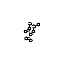 c1ccc(-c2cc(-c3ccccc3)nc(-c3ccncc3-c3ccc4c(c3)c3ccccc3n4-c3cccc(-n4c5ccccc5c5ccccc54)c3)n2)cc1